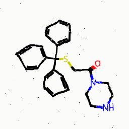 O=C(CSC(c1ccccc1)(c1ccccc1)c1ccccc1)N1CCNCC1